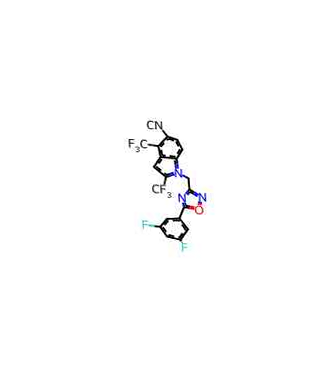 [C-]#[N+]c1ccc2c(cc(C(F)(F)F)n2Cc2noc(-c3cc(F)cc(F)c3)n2)c1C(F)(F)F